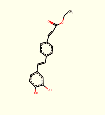 CCOC(=O)C=Cc1ccc(C=Cc2ccc(O)c(O)c2)cc1